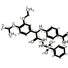 CCOc1cc(C(Nc2ccc(C(=N)N)cc2)C(=O)NNS(=O)(=O)c2ccccc2)ccc1OC(C)C